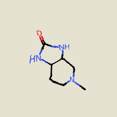 CN1CCC2NC(=O)NC2C1